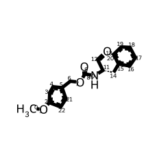 COc1ccc(COC(=O)N[C@H]([C]=O)Cc2ccccc2)cc1